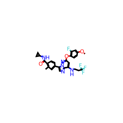 COc1ccc(Oc2cc(NCCC(F)(F)F)c3ncc(-c4ccc(C(=O)NC5CC5)c(C)c4)n3n2)c(F)c1